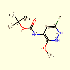 COC1=C(NC(=O)OC(C)(C)C)C=C(Cl)NN1